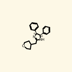 c1ccc([C@H]2NC(CC3CCOCC3)=N[C@H]2c2ccccc2)cc1